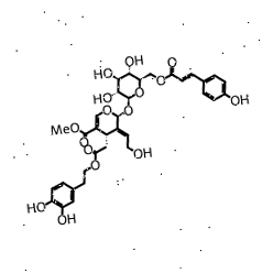 COC(=O)C1=CO[C@@H](O[C@@H]2O[C@H](COC(=O)/C=C/c3ccc(O)cc3)[C@@H](O)[C@H](O)[C@H]2O)/C(=C/CO)[C@@H]1CC(=O)OCCc1ccc(O)c(O)c1